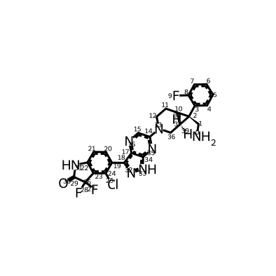 NC[C@]1(c2ccccc2F)[C@@H]2CCN(c3cnc4c(-c5ccc6c(c5Cl)C(F)(F)C(=O)N6)n[nH]c4n3)C[C@@H]21